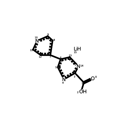 O=C(O)c1ncc(-c2ccncc2)cn1.[LiH]